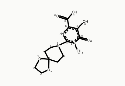 Cn1c(N2CCC3(CC2)OCCO3)nc(C(=O)O)c(O)c1=O